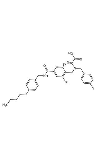 CCCCCc1ccc(CNC(=O)c2cc(Br)c(CN(Cc3ccc(I)cc3)C(=O)C(=O)O)c(Br)c2)cc1